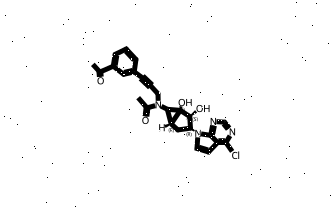 CC(=O)c1cccc(C#CCN(C(C)=O)C2[C@H]3C[C@@H](n4ccc5c(Cl)ncnc54)[C@H](O)[C@@]23O)c1